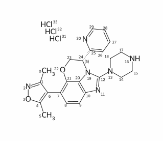 Cc1noc(C)c1-c1ccc2nc(N3CCNCC3)n3c2c1OC[C@@H]3c1ccccn1.Cl.Cl.Cl